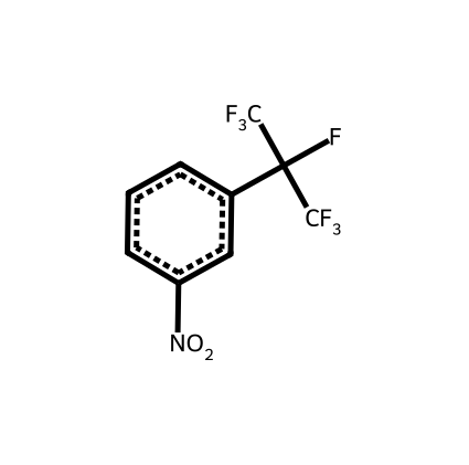 O=[N+]([O-])c1cccc(C(F)(C(F)(F)F)C(F)(F)F)c1